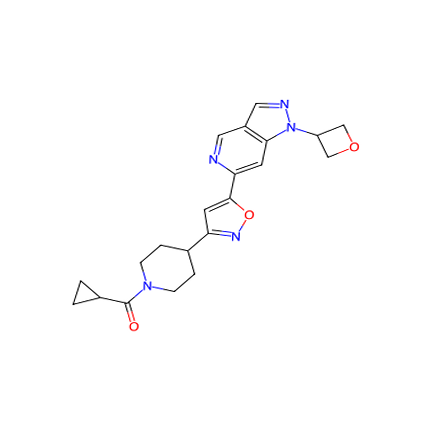 O=C(C1CC1)N1CCC(c2cc(-c3cc4c(cn3)cnn4C3COC3)on2)CC1